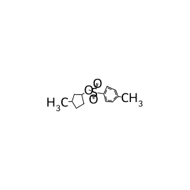 Cc1ccc(S(=O)(=O)OC2CCC(C)C2)cc1